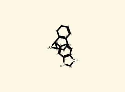 C1=CC2=C(CC1)C1(c3ccc4c(c3)OCO4)OC1CC2